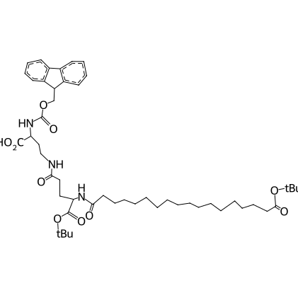 CC(C)(C)OC(=O)CCCCCCCCCCCCCCCCC(=O)NC(CCC(=O)NCCC(NC(=O)OCC1c2ccccc2-c2ccccc21)C(=O)O)C(=O)OC(C)(C)C